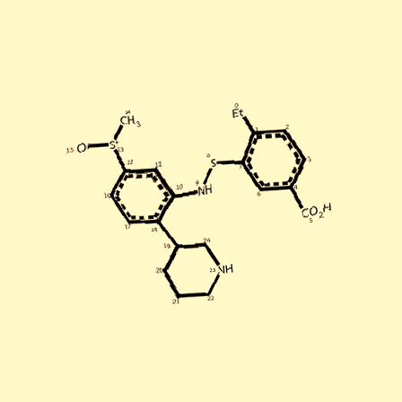 CCc1ccc(C(=O)O)cc1SNc1cc([S+](C)[O-])ccc1C1CCCNC1